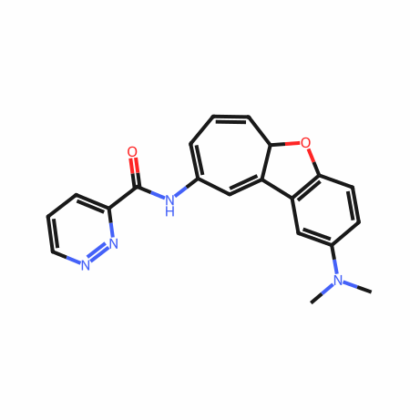 CN(C)c1ccc2c(c1)C1=CC(NC(=O)c3cccnn3)=CC=CC1O2